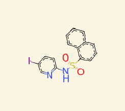 O=S(=O)(Nc1ccc(I)cn1)c1cccc2ccccc12